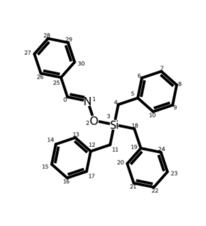 C(=NO[Si](Cc1ccccc1)(Cc1ccccc1)Cc1ccccc1)c1ccccc1